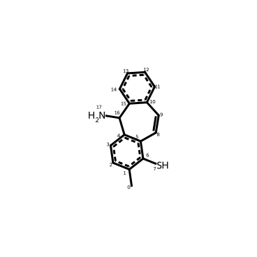 Cc1ccc2c(c1S)C=Cc1ccccc1C2N